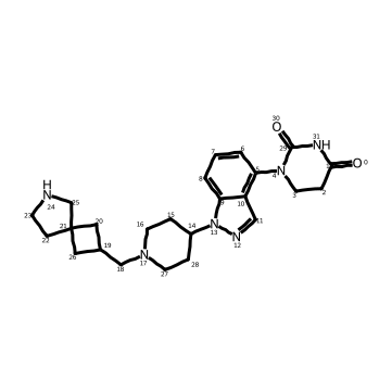 O=C1CCN(c2cccc3c2cnn3C2CCN(CC3CC4(CCNC4)C3)CC2)C(=O)N1